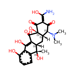 CN(C)[C@@H]1C(=O)C(=C(N)O)C(=O)[C@@]2(O)C(=O)C3=C(O)c4c(O)cccc4[C@@](C)(O)[C@H]3C[C@@H]12